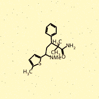 CNC(CC(c1ccccc1)C(C)(C)C(N)=O)c1ccc(C)s1